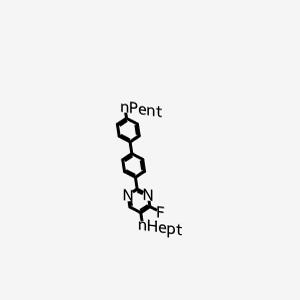 CCCCCCCc1cnc(-c2ccc(-c3ccc(CCCCC)cc3)cc2)nc1F